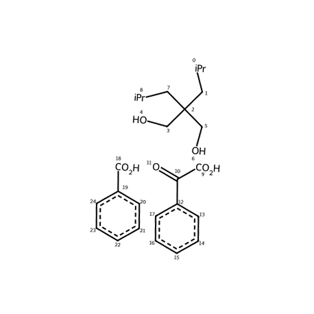 CC(C)CC(CO)(CO)CC(C)C.O=C(O)C(=O)c1ccccc1.O=C(O)c1ccccc1